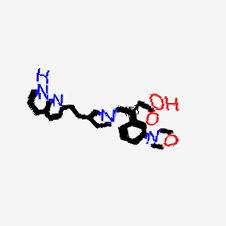 O=C(O)C[C@H](CN1CCC(CCc2ccc3c(n2)NCCC3)C1)c1cccc(N2CCOCC2)c1